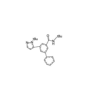 CC(C)(C)NC(=O)c1cc(-c2ccccc2)cc(-c2ccnn2C(C)(C)C)c1